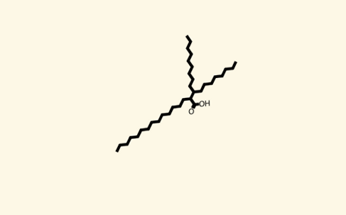 CCCCCCCCCCCCCCC(C(=O)O)C(CCCCCCCC)CCCCCCCCC